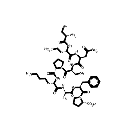 CC[C@H](C)[C@H](NC(=O)[C@H](CCCCN)NC(=O)[C@@H]1CCCN1C(=O)[C@H](CS)NC(=O)[C@H](CC(N)=O)NC(=O)[C@H](CCC(=O)O)NC(=O)[C@@H](N)CC(C)C)C(=O)N[C@@H](Cc1ccccc1)C(=O)N1CCC[C@H]1C(=O)O